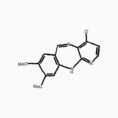 COc1cc2c(cc1OC)Nc1nccc(Cl)c1N=C2